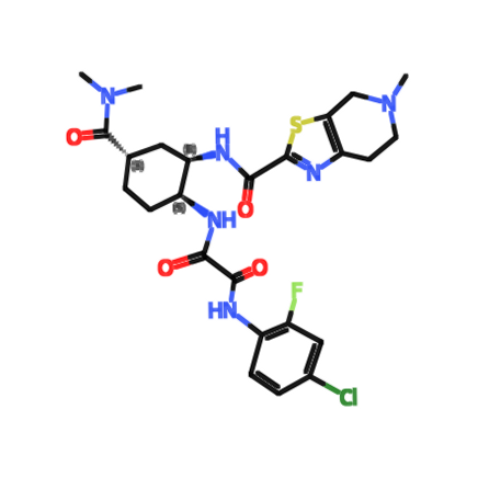 CN1CCc2nc(C(=O)N[C@@H]3C[C@@H](C(=O)N(C)C)CC[C@@H]3NC(=O)C(=O)Nc3ccc(Cl)cc3F)sc2C1